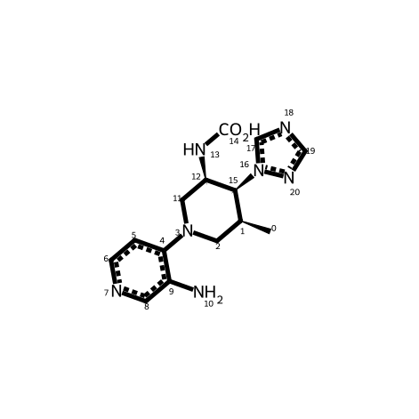 C[C@H]1CN(c2ccncc2N)C[C@@H](NC(=O)O)[C@H]1n1cncn1